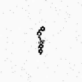 Cc1ccc(C2=CC=C(S(=O)(=O)NCCCN3CCC(Cc4ccccc4)CC3)CC2C)cc1